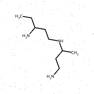 CCC(N)CCNC(C)CCN